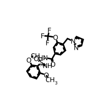 COc1cccc(OC)c1[S@](=N)(=O)NC(=O)c1ccc(Cn2cccn2)c(OC(F)(F)F)c1